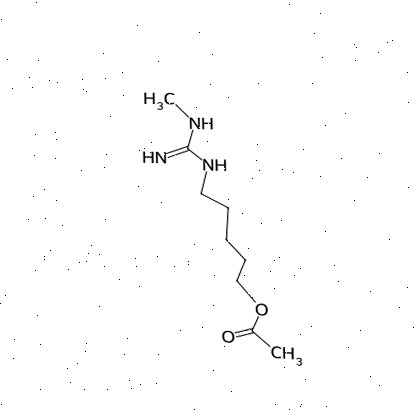 CNC(=N)NCCCCCOC(C)=O